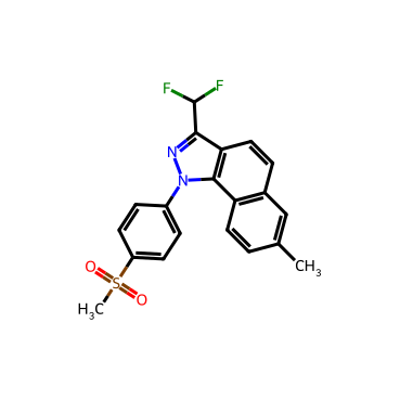 Cc1ccc2c(ccc3c(C(F)F)nn(-c4ccc(S(C)(=O)=O)cc4)c32)c1